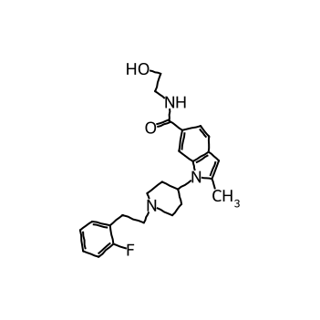 Cc1cc2ccc(C(=O)NCCO)cc2n1C1CCN(CCc2ccccc2F)CC1